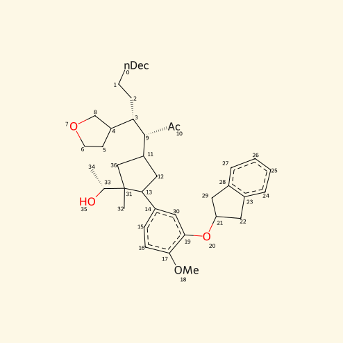 CCCCCCCCCCCC[C@@H](C1CCOC1)[C@H](C(C)=O)C1CC(c2ccc(OC)c(OC3Cc4ccccc4C3)c2)C(C)([C@@H](C)O)C1